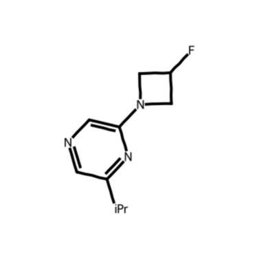 CC(C)c1cncc(N2CC(F)C2)n1